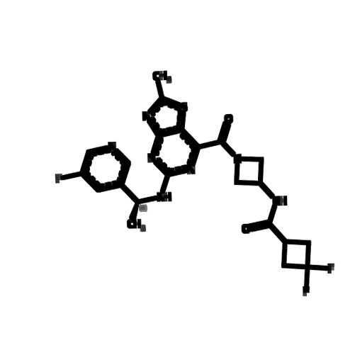 Cc1nc2nc(N[C@@H](C)c3cncc(F)c3)nc(C(=O)N3CC(NC(=O)C4CC(F)(F)C4)C3)c2s1